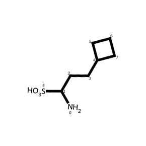 NC(CCC1CCC1)S(=O)(=O)O